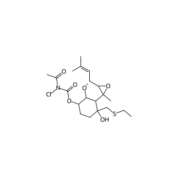 CCSCC1(O)CCC(OC(=O)N(Cl)C(C)=O)C(OC)C1C1(C)OC1CC=C(C)C